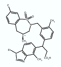 CCn1nnc2c(C)c(C(CC(=O)O)c3ccc(C)c(CN4C[C@@H](C)Cc5ccc(F)cc5S4(=O)=O)c3)ccc21